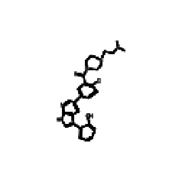 CN(C)CCN1CCN(C(=O)c2cc(-c3cnc4[nH]cc(-c5ccccc5O)c4c3)ccc2Cl)CC1